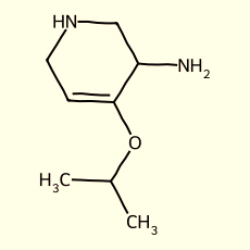 CC(C)OC1=CCNCC1N